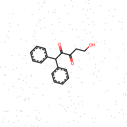 O=C(CCO)C(=O)C(c1ccccc1)c1ccccc1